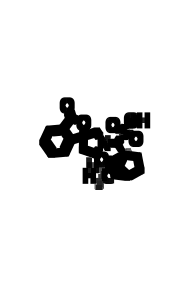 CC1(C)C2CC[C@@]1(C(N1CCC3(C1)OC(=O)c1ccccc13)S(=O)(=O)O)C(=O)C2